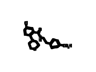 O=C(O)c1ccc(CCNC(=O)c2cc(Cl)ccc2N2CCOCC2)cc1